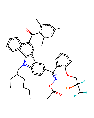 CCCCC(CC)Cn1c2ccc(/C(=N\OC(C)=O)c3ccccc3OCC(F)(P)C(F)F)cc2c2cc(C(=O)c3c(C)cc(C)cc3C)c3ccccc3c21